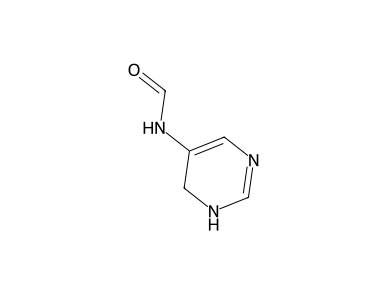 O=CNC1=CN=CNC1